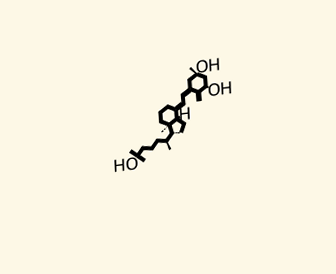 C=C1/C(=C\C=C2/CCC[C@]3(C)[C@@H]([C@@H](C)CCCC(C)(C)O)CC[C@@H]23)C[C@](C)(O)C[C@@H]1O